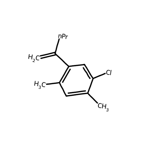 C=C(CCC)c1cc(Cl)c(C)cc1C